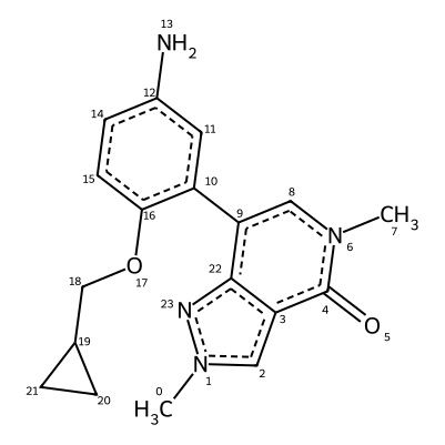 Cn1cc2c(=O)n(C)cc(-c3cc(N)ccc3OCC3CC3)c2n1